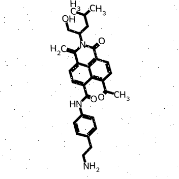 C=c1c2ccc(C(=O)Nc3ccc(CCN)cc3)c3c(C(C)=O)ccc(c(=O)n1C(CO)CC(C)C)c32